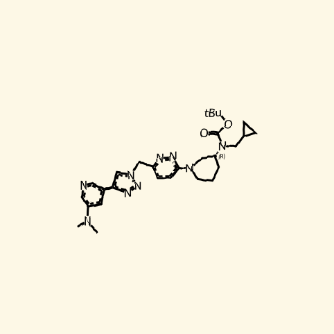 CN(C)c1cncc(-c2cn(Cc3ccc(N4CCC[C@@H](N(CC5CC5)C(=O)OC(C)(C)C)C4)nn3)nn2)c1